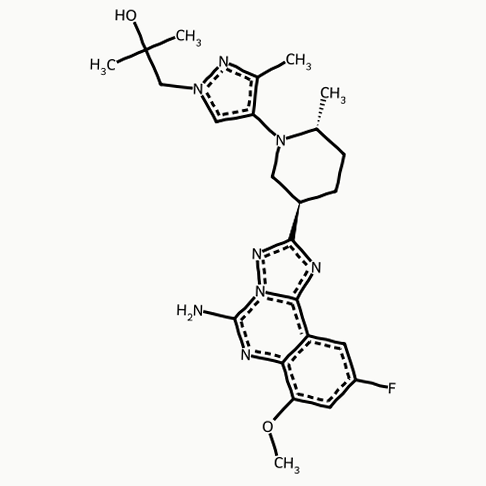 COc1cc(F)cc2c1nc(N)n1nc([C@@H]3CC[C@@H](C)N(c4cn(CC(C)(C)O)nc4C)C3)nc21